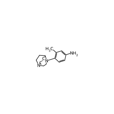 Cc1cc(N)ccc1N1CCN2CCC1CC2